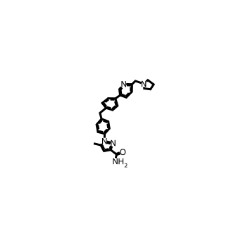 Cc1cc(C(N)=O)nn1-c1ccc(Cc2ccc(-c3ccc(CN4CCCC4)nc3)cc2)cc1